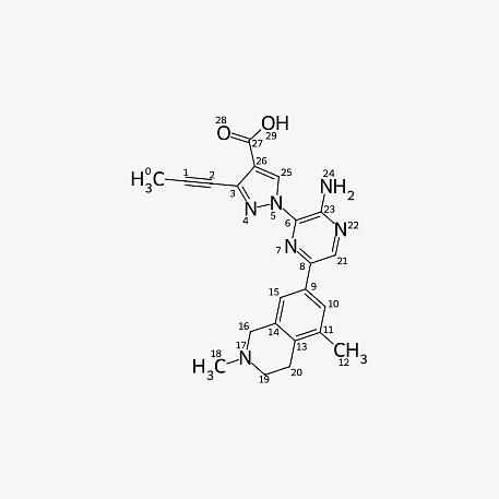 CC#Cc1nn(-c2nc(-c3cc(C)c4c(c3)CN(C)CC4)cnc2N)cc1C(=O)O